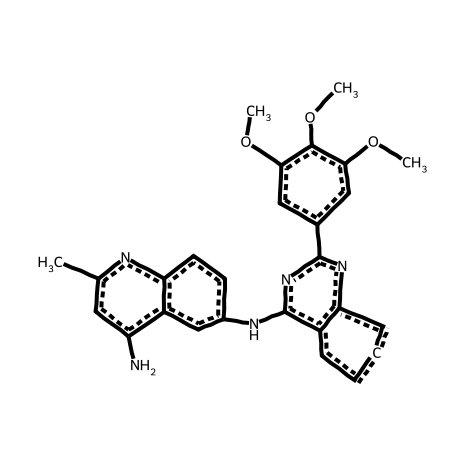 COc1cc(-c2nc(Nc3ccc4nc(C)cc(N)c4c3)c3ccccc3n2)cc(OC)c1OC